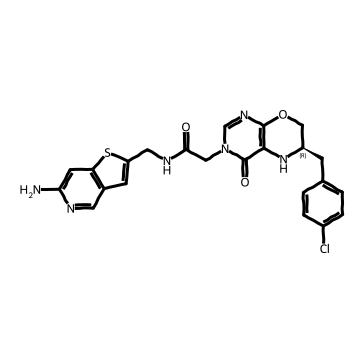 Nc1cc2sc(CNC(=O)Cn3cnc4c(c3=O)N[C@H](Cc3ccc(Cl)cc3)CO4)cc2cn1